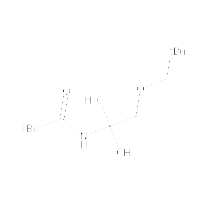 CC(C)(C)COCC(C)(C)NC(=O)C(C)(C)C